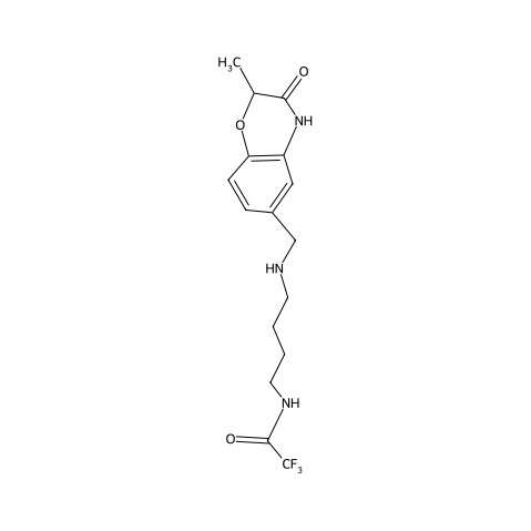 CC1Oc2ccc(CNCCCCNC(=O)C(F)(F)F)cc2NC1=O